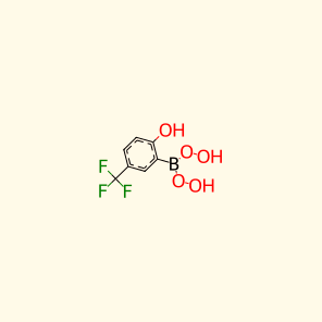 OOB(OO)c1cc(C(F)(F)F)ccc1O